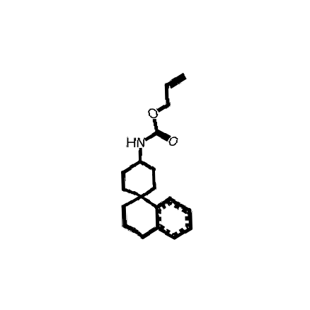 C=CCOC(=O)NC1CCC2(CCCc3ccccc32)CC1